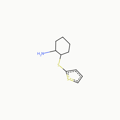 N[C]1CCCCC1Sc1cccs1